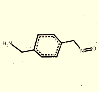 NCc1ccc(CN=O)cc1